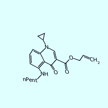 C=CCOC(=O)c1cn(C2CC2)c2cccc(NCCCCC)c2c1=O